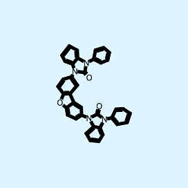 O=c1n(-c2ccccc2)c2ccccc2n1-c1ccc2oc3ccc(-n4c(=O)n(-c5ccccc5)c5ccccc54)cc3c2c1